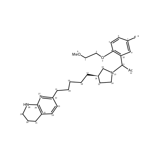 COCCOc1ccc(F)cc1C(C(C)=O)N1CC[C@@H](CCCCCc2ccc3c(n2)NCCC3)C1